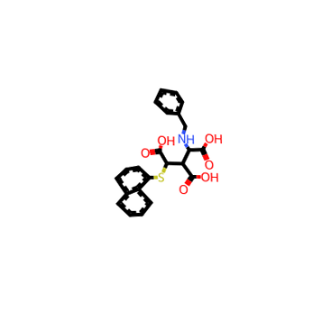 O=C(O)C(NCc1ccccc1)C(C(=O)O)C(Sc1cccc2ccccc12)C(=O)O